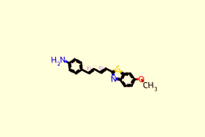 COc1ccc2nc(/C=C/C=C/c3ccc(N)cc3)sc2c1